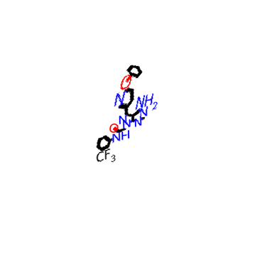 Nc1ncnc2c1c(-c1ccc(Oc3ccccc3)nc1)nn2CC(=O)Nc1cccc(C(F)(F)F)c1